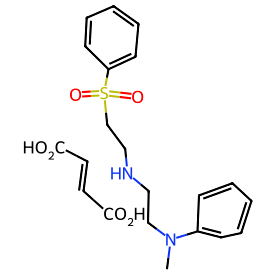 CN(CCNCCS(=O)(=O)c1ccccc1)c1ccccc1.O=C(O)C=CC(=O)O